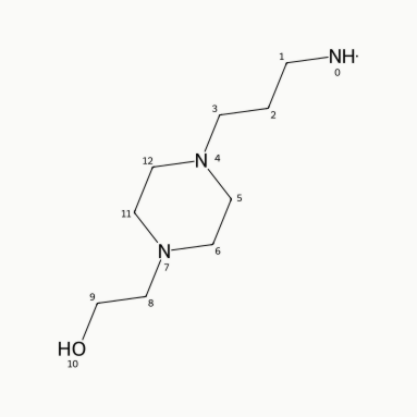 [NH]CCCN1CCN(CCO)CC1